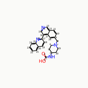 O=C(O)NC1CCN(Cc2ccc3cncc(-c4ccc5ccccc5n4)c3c2)CC1